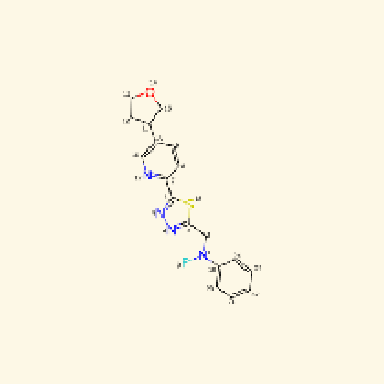 FN(Cc1nnc(-c2ccc(C3CCOC3)cn2)s1)c1ccccc1